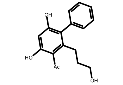 CC(=O)c1c(O)cc(O)c(-c2ccccc2)c1CCCO